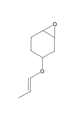 CC=COC1CCC2OC2C1